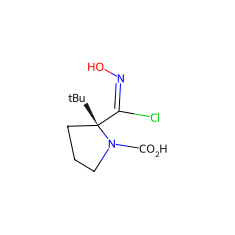 CC(C)(C)[C@]1(/C(Cl)=N\O)CCCN1C(=O)O